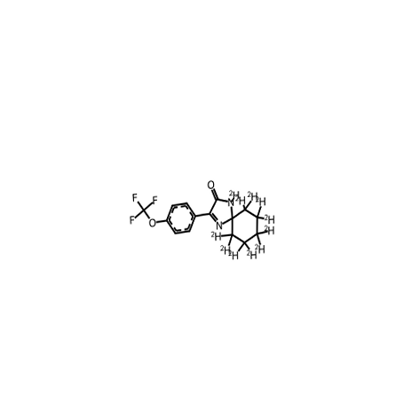 [2H]N1C(=O)C(c2ccc(OC(F)(F)F)cc2)=NC12C([2H])([2H])C([2H])([2H])C([2H])([2H])C([2H])([2H])C2([2H])[2H]